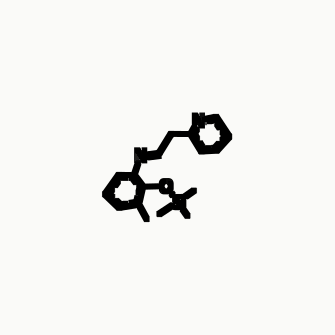 Cc1cccc(N=CCc2ccccn2)c1O[Si](C)(C)C